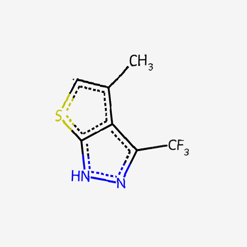 Cc1[c]sc2[nH]nc(C(F)(F)F)c12